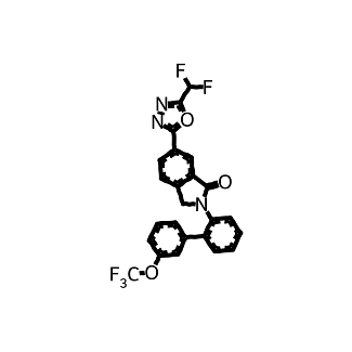 O=C1c2cc(-c3nnc(C(F)F)o3)ccc2CN1c1ccccc1-c1cccc(OC(F)(F)F)c1